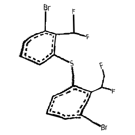 FC(F)c1c(Br)cccc1Sc1cccc(Br)c1C(F)F